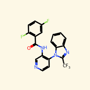 O=C(Nc1cnccc1-n1c(C(F)(F)F)nc2ccccc21)c1cc(F)ccc1F